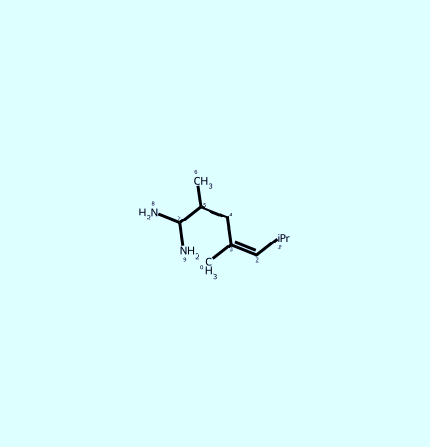 CC(=CC(C)C)CC(C)C(N)N